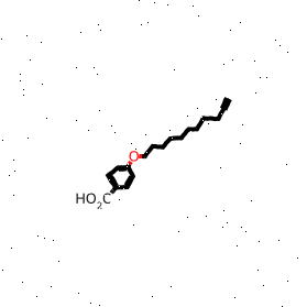 C#CCCCCCCCCCOc1ccc(C(=O)O)cc1